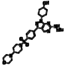 CCCCNc1ncc2c(-c3ccc(S(=O)(=O)N4CCC(N5CCOCC5)CC4)cc3)nn(C3CCC(O)CC3)c2n1